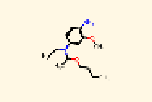 CCCCOC(C)N(CC)c1ccc(N)c(OC)c1